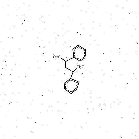 O=CC(CC(C=O)c1ccccc1)c1ccccc1